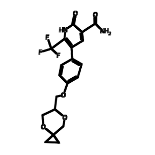 NC(=O)c1cc(-c2ccc(OCC3COC4(CC4)CO3)cc2)c(C(F)(F)F)[nH]c1=O